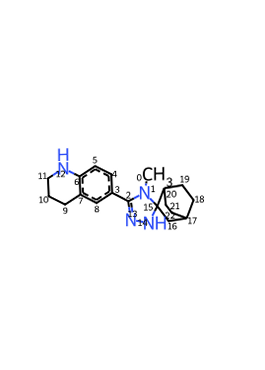 CN1C(c2ccc3c(c2)CCCN3)=NNC12CC1CCC2CC1